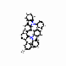 N#Cc1cccc(-c2ccccc2-n2c3ccccc3c3cccc(-c4cccc5c6ccccc6n(-c6ccccc6)c45)c32)c1